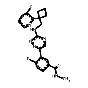 CNC(=O)c1ccc(F)c(-c2cnc(NCC3(c4ncccc4F)CCC3)nn2)c1